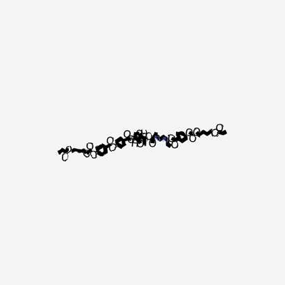 C=CC(=O)OCCCCOC(=O)Oc1ccc(C(=O)O/C(C=C)=C/C=C(\C)C(=O)O[C@@H]2CO[C@@H]3[C@H]2OC[C@H]3OC(=O)c2ccc(OC(=O)c3ccc(OC(=O)OCCCCOC(=O)C=C)cc3)cc2)cc1